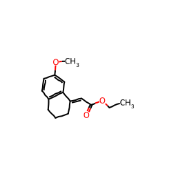 CCOC(=O)C=C1CCCc2ccc(OC)cc21